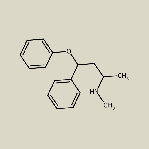 CNC(C)CC(Oc1ccccc1)c1ccccc1